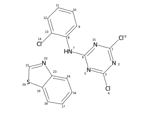 Clc1nc(Cl)nc(Nc2ccccc2Cl)n1.c1ccc2scnc2c1